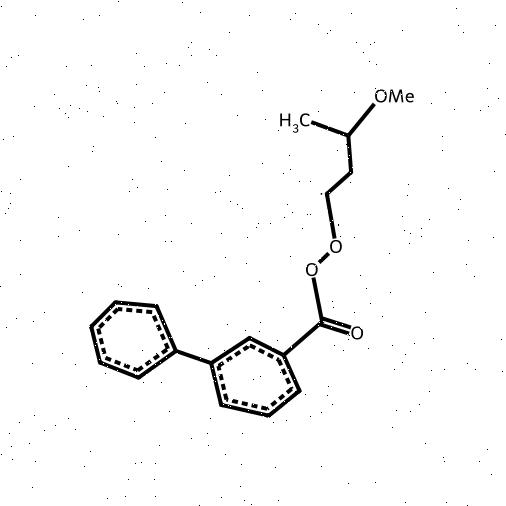 COC(C)C[CH]OOC(=O)c1cccc(-c2ccccc2)c1